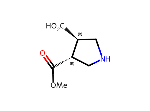 COC(=O)[C@H]1CNC[C@@H]1C(=O)O